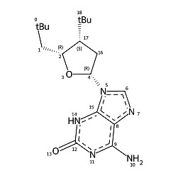 CC(C)(C)C[C@H]1O[C@@H](n2cnc3c(N)nc(=O)[nH]c32)C[C@H]1C(C)(C)C